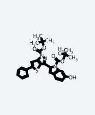 CC(C)(C)OC(=O)n1nc(-c2cc3ccc(O)cc3n2C(=O)OC(C)(C)C)c2sc(-c3ccccc3)cc21